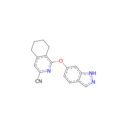 N#Cc1cc2c(c(Oc3ccc4cn[nH]c4c3)n1)CCCC2